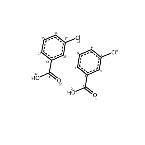 O=C(O)c1cccc(Cl)c1.O=C(O)c1cccc(Cl)c1